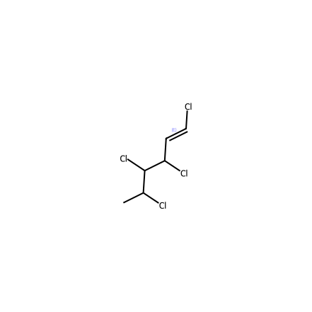 CC(Cl)C(Cl)C(Cl)/C=C/Cl